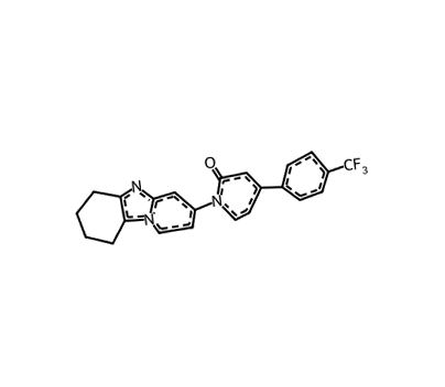 O=c1cc(-c2ccc(C(F)(F)F)cc2)ccn1-c1ccn2c3c(nc2c1)CCCC3